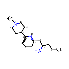 CCCC(N)Cc1cccc(C2CCN(C)CC2)n1